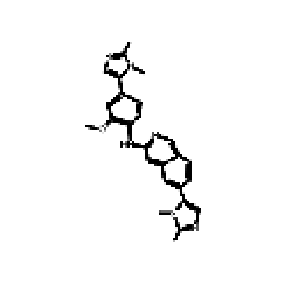 COc1cc(-c2cnc(C)n2C)ccc1Nc1cc2cc(-c3cnc(C)n3C)ccc2cn1